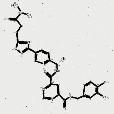 Cc1cc(CNC(=O)c2cc(C(=O)N[C@@H](C)c3ccc(-c4noc(CCC(=O)N(C)C)n4)cc3)ncn2)ccc1F